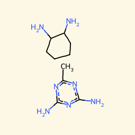 Cc1nc(N)nc(N)n1.NC1CCCCC1N